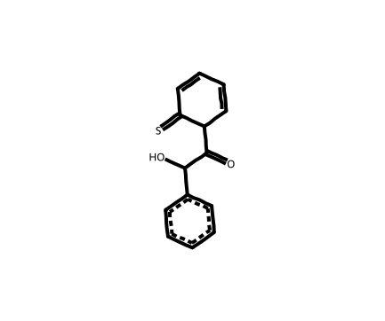 O=C(C1C=CC=CC1=S)C(O)c1ccccc1